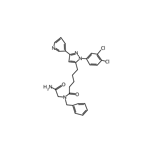 NC(=O)CN(Cc1ccccc1)C(=O)CCCCc1cc(-c2cccnc2)nn1-c1ccc(Cl)c(Cl)c1